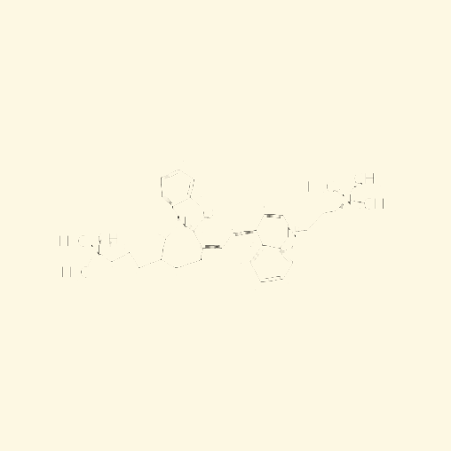 C[N+](C)(C)CCCC1CC/C(=C/C=C2/C=CN(CCC[N+](C)(C)C)c3ccccc32)c2oc3ccccc3[n+]2C1